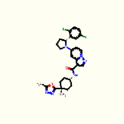 C[C@]1(c2nnc(C(F)(F)F)o2)CC[C@@H](NC(=O)c2cnn3ccc(N4CCC[C@@H]4c4cc(F)ccc4F)cc23)CC1